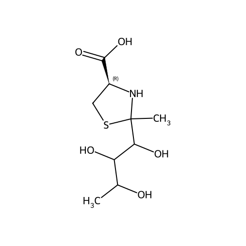 CC(O)C(O)C(O)C1(C)N[C@H](C(=O)O)CS1